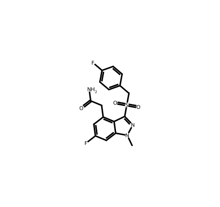 Cn1nc(S(=O)(=O)Cc2ccc(F)cc2)c2c(CC(N)=O)cc(F)cc21